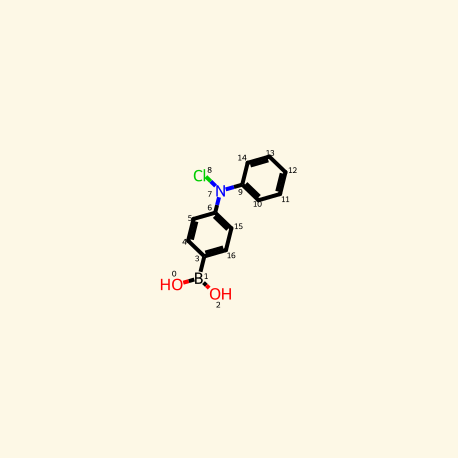 OB(O)c1ccc(N(Cl)c2ccccc2)cc1